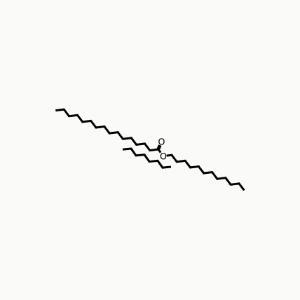 CCCCCCCC.CCCCCCCCCCCCCCCC(=O)OCCCCCCCCCCCC